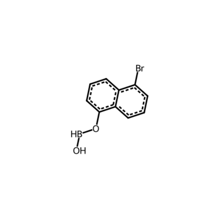 OBOc1cccc2c(Br)cccc12